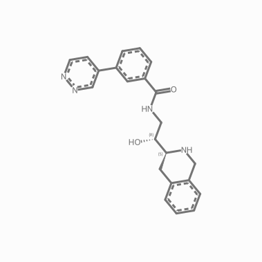 O=C(NC[C@@H](O)[C@@H]1Cc2ccccc2CN1)c1cccc(-c2ccnnc2)c1